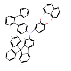 c1ccc(-c2ccccc2-c2ccc(N(c3ccc4c(c3)Oc3cccc5cccc(c35)O4)c3ccc4c(c3)C(c3ccccc3)(c3ccccc3)c3ccccc3-4)cc2)cc1